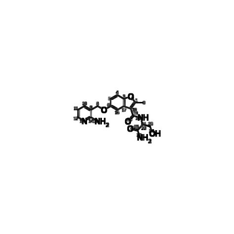 Cc1oc2ccc(OCc3cccnc3N)cc2c1C(=O)N[C@@H](CO)C(N)=O